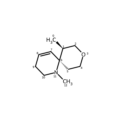 C[C@H]1COCC[C@]12C=CCCN2C